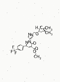 CCOC(=O)c1cc(-c2ccc(C(F)(F)F)cc2)nn(-c2cnn(COCCS(C)(C)C)c2)c1=O